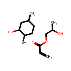 C=CC(=O)OCC(C)O.CC1CCC(C(C)C)C(O)C1